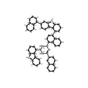 c1ccc2cc(C3=NC(c4ccc(-c5cccc6oc7cc(-c8cccc9ccccc89)ccc7c56)c5ccccc45)NC(c4cccc5oc6ccccc6c45)N3)ccc2c1